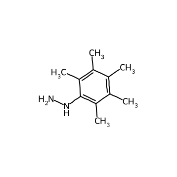 Cc1c(C)c(C)c(NN)c(C)c1C